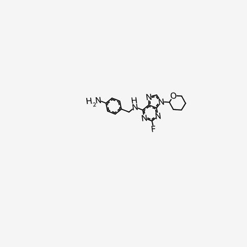 Nc1ccc(CNc2nc(F)nc3c2ncn3C2CCCCO2)cc1